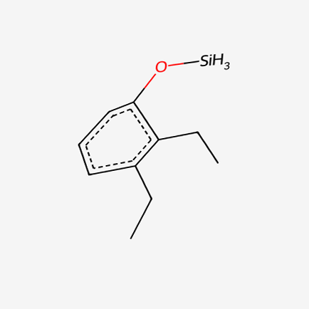 CCc1cccc(O[SiH3])c1CC